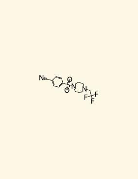 N#Cc1ccc(S(=O)(=O)N2CCN(CC(F)(F)F)CC2)cc1